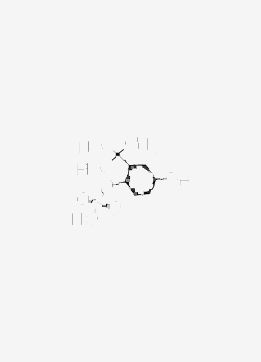 CC(C)(C)c1cc(O)ccc1OS(=O)(=O)O